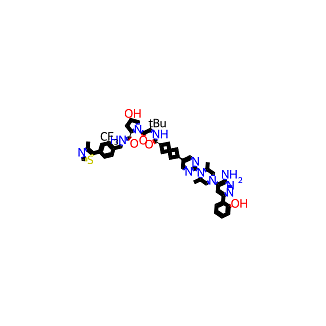 Cc1ncsc1-c1ccc(CNC(=O)[C@@H]2C[C@@H](O)CN2C(=O)[C@@H](NC(=O)[C@H]2CC3(C2)C[C@H](c2cnc(N4C(C)CN(c5cc(-c6ccccc6O)nnc5N)CC4C)nc2)C3)C(C)(C)C)c(C(F)(F)F)c1